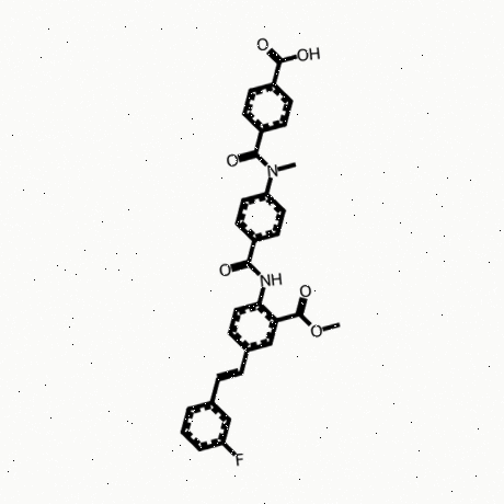 COC(=O)c1cc(/C=C/c2cccc(F)c2)ccc1NC(=O)c1ccc(N(C)C(=O)c2ccc(C(=O)O)cc2)cc1